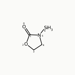 O=C1OCCN1[SiH3]